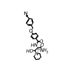 N#Cc1ccc(COc2ccc(C(=O)N[C@H](C(N)=O)C(O)N3CCCCC3)cc2)cc1